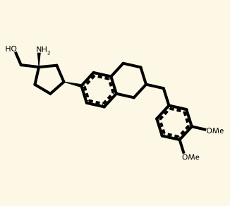 COc1ccc(CC2CCc3cc([C@H]4CC[C@](N)(CO)C4)ccc3C2)cc1OC